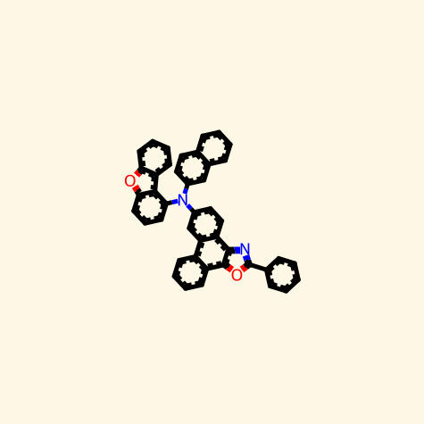 c1ccc(-c2nc3c4ccc(N(c5ccc6ccccc6c5)c5cccc6oc7ccccc7c56)cc4c4ccccc4c3o2)cc1